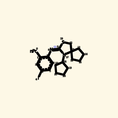 CCCc1cc(I)ccc1/N=C1/SCC2(CCCC2)N1C1CCCC1